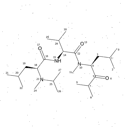 CC(C)C[C@@H](C(=O)C(C)C)N(C)C(=O)[C@@H](NC(=O)[C@H](CC(C)C)N(C)C(C)C)C(C)C